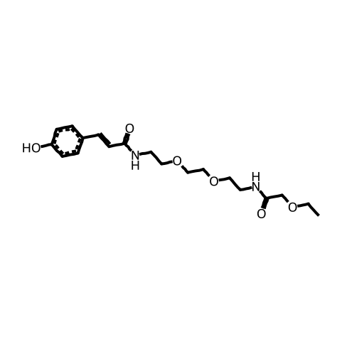 CCOCC(=O)NCCOCCOCCNC(=O)/C=C/c1ccc(O)cc1